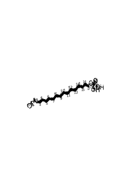 O=C=NCCCCCCCCCCCCCCCOP(=O)(O)O